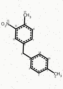 Cc1ccc(Cc2ccc(C)c([N+](=O)[O-])c2)cc1